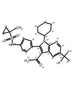 CC1(S(=O)(=O)Nc2ccc(-c3c(C(N)=O)c4cc(C(F)(F)F)cnc4n3C3CCCCC3)cc2)CC1